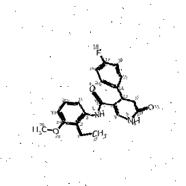 CCc1c(NC(=O)C2=CNC(=O)CC2c2ccc(F)cc2)cccc1OC